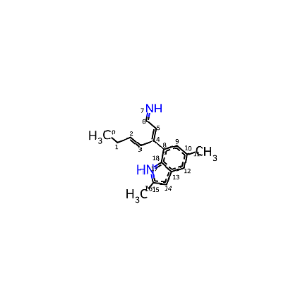 CC/C=C/C(=C\C=N)c1cc(C)cc2cc(C)[nH]c12